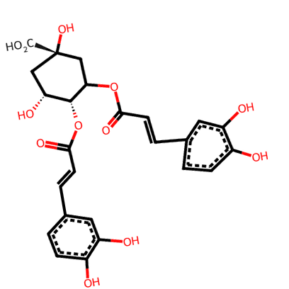 O=C(/C=C/c1ccc(O)c(O)c1)OC1C[C@](O)(C(=O)O)C[C@@H](O)[C@H]1OC(=O)/C=C/c1ccc(O)c(O)c1